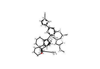 CO[C@@H]1C[C@@H]([C@H](C)Oc2cc(-c3ccn(C)n3)nc(-c3noc4c3CCC[C@@]43CCCc4sc(N)c(C#N)c43)n2)N(C)C1